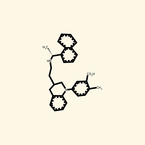 Cc1ccc(N2CC(CCN[C@H](C)c3cccc4ccccc34)Cc3ccccc32)cc1C(=O)O